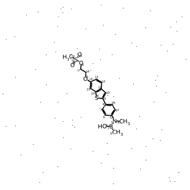 CB(O)N(C)c1ccc(-c2cc3ccc(OCCOS(C)(=O)=O)cc3s2)cc1